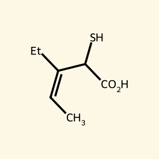 CC=C(CC)C(S)C(=O)O